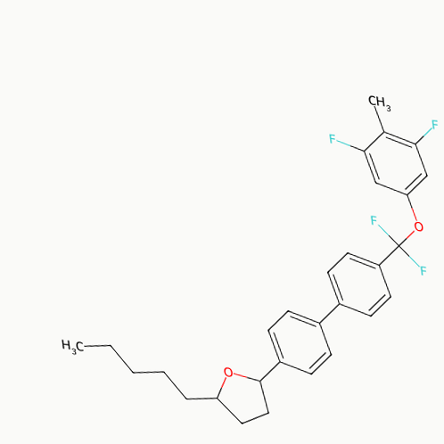 CCCCCC1CCC(c2ccc(-c3ccc(C(F)(F)Oc4cc(F)c(C)c(F)c4)cc3)cc2)O1